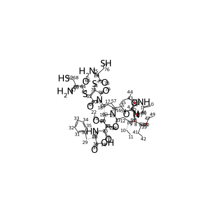 C=C(N[C@H](C(=O)N(C)[C@H]([C@H](CC)CC(=O)N1CCC[C@H]1[C@H](OC)[C@@H](C)C(=O)N[C@@H](Cc1ccccc1)C(=O)O)[C@H](C)CC)C(C)C)[C@H](C(C)C)N(C)C(=O)CCCCCN1C(=O)C(SC(=O)[C@@H](N)CS)=C(SC(=O)[C@@H](N)CS)C1=O